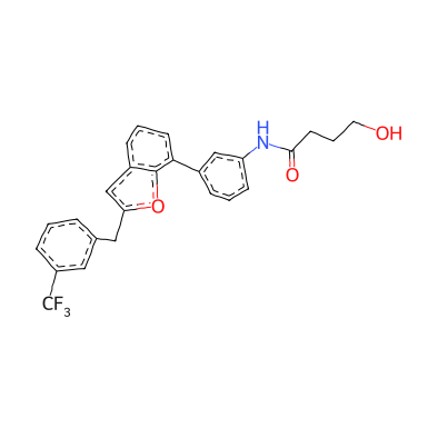 O=C(CCCO)Nc1cccc(-c2cccc3cc(Cc4cccc(C(F)(F)F)c4)oc23)c1